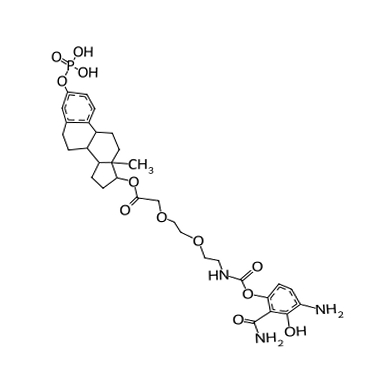 CC12CCC3c4ccc(OP(=O)(O)O)cc4CCC3C1CCC2OC(=O)COCCOCCNC(=O)Oc1ccc(N)c(O)c1C(N)=O